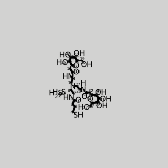 O=C(CCCS)NCCN(CCNC(=O)C[C@@H]1O[C@H](CO)[C@H](O)[C@H](O)[C@H]1O)CCNC(=O)C[C@@H]1O[C@H](CO)[C@H](O)[C@H](O)[C@H]1O.S.S